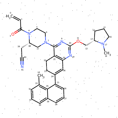 C=CC(=O)N1CCN(c2nc(OC[C@@H]3CCCN3C)nc3c2CCC(c2cccc4cccc(C)c24)=C3)C[C@@H]1CC#N